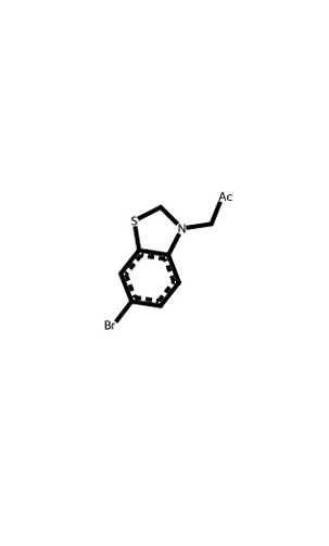 CC(=O)CN1CSc2cc(Br)ccc21